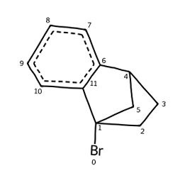 BrC12CCC(C1)c1ccccc12